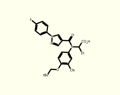 CCC(C(=O)O)N(C(=O)c1cnn(-c2ccc(F)cc2)c1)c1ccc(OCC(C)(C)C)c(C#N)c1